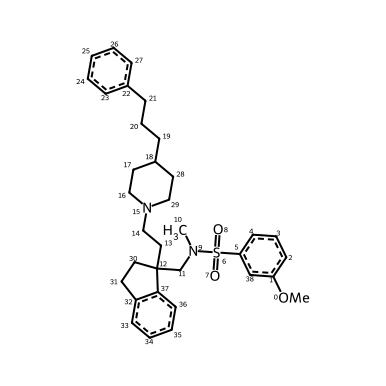 COc1cccc(S(=O)(=O)N(C)CC2(CCN3CCC(CCCc4ccccc4)CC3)CCc3ccccc32)c1